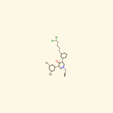 C#CCn1cc(-c2cc(CC)cc(CC)c2)c(=O)c(-c2cccc(CCCCC(Br)Br)c2)c1